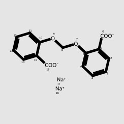 O=C([O-])c1ccccc1OCOc1ccccc1C(=O)[O-].[Na+].[Na+]